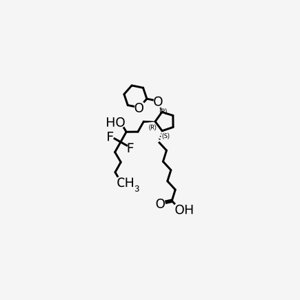 CCCCC(F)(F)C(O)CC[C@@H]1[C@@H](CCCCCCC(=O)O)CC[C@H]1OC1CCCCO1